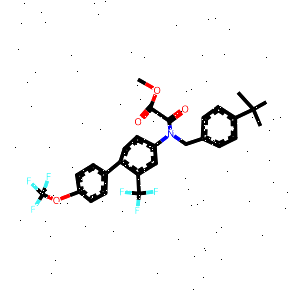 COC(=O)C(=O)N(Cc1ccc(C(C)(C)C)cc1)c1ccc(-c2ccc(OC(F)(F)F)cc2)c(C(F)(F)F)c1